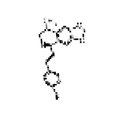 CC1CN=C(C=Cc2ccc(F)cc2)c2cc3c(cc21)OCO3